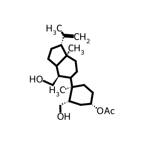 C=C(C)[C@H]1CCC2[C@H](CO)C([C@@]3(C)CC[C@H](OC(C)=O)C[C@@H]3CO)CC[C@@]21C